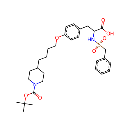 CC(C)(C)OC(=O)N1CCC(CCCCOc2ccc(CC(NS(=O)(=O)Cc3ccccc3)C(=O)O)cc2)CC1